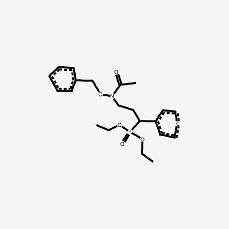 CCOP(=O)(OCC)C(CCN(OCc1ccccc1)C(C)=O)c1ccccc1